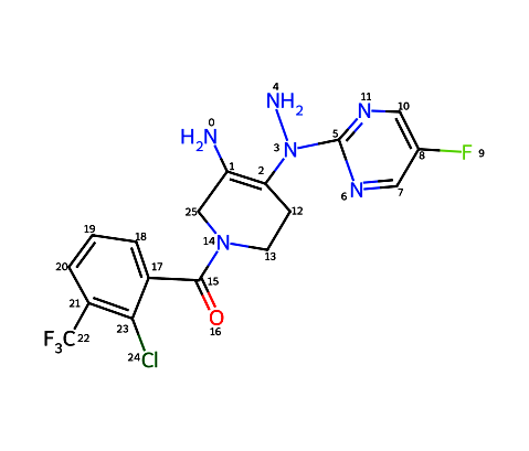 NC1=C(N(N)c2ncc(F)cn2)CCN(C(=O)c2cccc(C(F)(F)F)c2Cl)C1